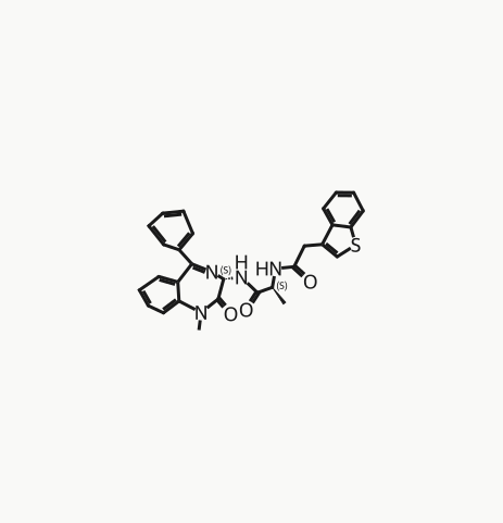 C[C@H](NC(=O)Cc1csc2ccccc12)C(=O)N[C@H]1N=C(c2ccccc2)c2ccccc2N(C)C1=O